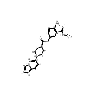 CNC(=O)c1cc(CC(=O)N2CCN(c3ccc4nncn4n3)CC2)ccc1P